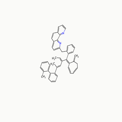 C=C1CC=CC=C\C1=C(C(=C/C)/C=C(\C)c1ccccc1-c1ccccc1C)\c1ccccc1Cc1ccc2ccc3cccnc3c2n1